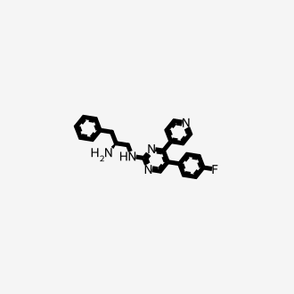 N[C@H](CNc1ncc(-c2ccc(F)cc2)c(-c2ccncc2)n1)Cc1ccccc1